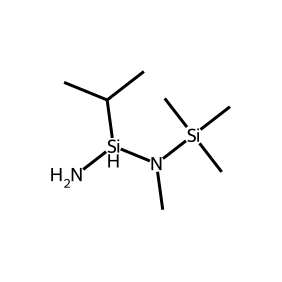 CC(C)[SiH](N)N(C)[Si](C)(C)C